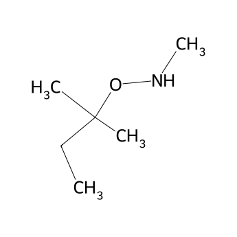 CCC(C)(C)ONC